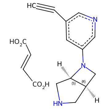 C#Cc1cncc(N2C[C@H]3CNC[C@H]32)c1.O=C(O)C=CC(=O)O